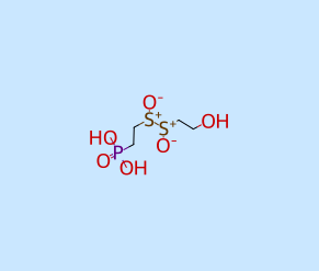 O=P(O)(O)CC[S+]([O-])[S+]([O-])CCO